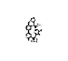 CC(=O)Nc1cc(-c2cnc(N)c(-c3nnnn3-c3cccc(F)c3F)c2)ccc1CN1CCCC1